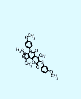 COc1ccc(-n2c(=O)c3c(O)c(Sc4cccc(OC)c4)c(=O)oc3c3c(C)nn(C)c32)cc1